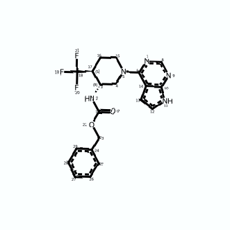 O=C(N[C@H]1CN(c2ncnc3[nH]ccc23)CC[C@@H]1C(F)(F)F)OCc1ccccc1